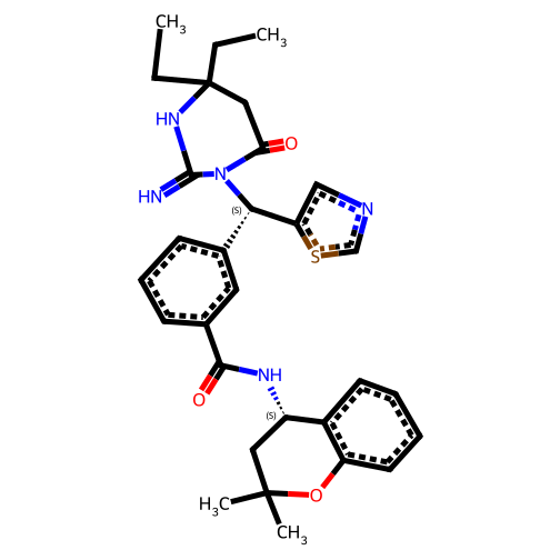 CCC1(CC)CC(=O)N([C@@H](c2cccc(C(=O)N[C@H]3CC(C)(C)Oc4ccccc43)c2)c2cncs2)C(=N)N1